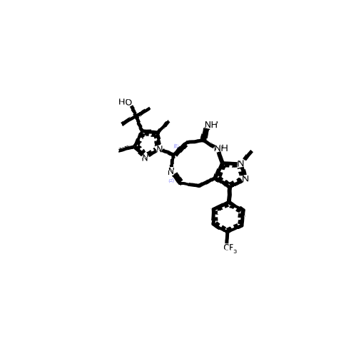 Cc1nn(C2=C/C(=N)Nc3c(c(-c4ccc(C(F)(F)F)cc4)nn3C)C/C=N\2)c(C)c1C(C)(C)O